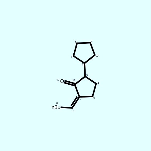 CCCC/C=C1/CCC(C2CCCC2)C1=O